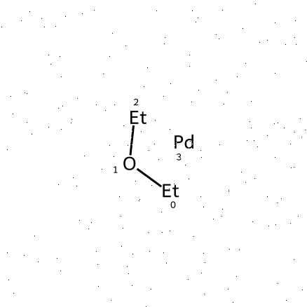 CCOCC.[Pd]